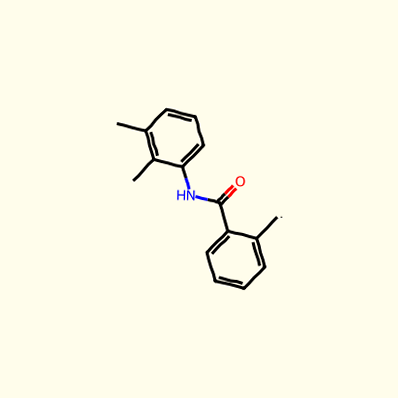 [CH2]c1ccccc1C(=O)Nc1cccc(C)c1C